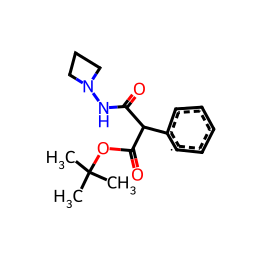 CC(C)(C)OC(=O)C(C(=O)NN1CCC1)c1[c]cccc1